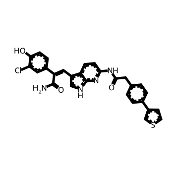 NC(=O)C(=Cc1c[nH]c2nc(NC(=O)Cc3ccc(-c4ccsc4)cc3)ccc12)c1ccc(O)c(Cl)c1